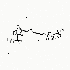 CCCC(=O)C(O)OC(=O)CCCCCCCC(=O)OC(O)C(=O)CCC